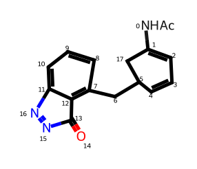 CC(=O)NC1=CC=CC(Cc2cccc3c2C(=O)N=N3)C1